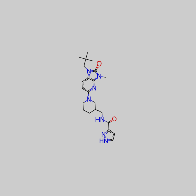 Cn1c(=O)n(CC(C)(C)C)c2ccc(N3CCCC(CNC(=O)c4cc[nH]n4)C3)nc21